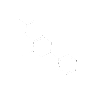 CCC(=O)NC1=NCC(c2ccccc2)CN1C